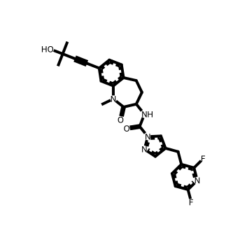 CN1C(=O)C(NC(=O)n2cc(Cc3ccc(F)nc3F)cn2)CCc2ccc(C#CC(C)(C)O)cc21